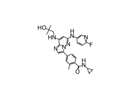 Cc1cc(-c2cnc3c(NCC(C)(C)O)cc(Nc4ccc(F)nc4)nn23)ccc1C(=O)NC1CC1